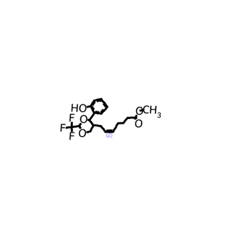 COC(=O)CCC/C=C\CC1COC(C(F)(F)F)OC1c1ccccc1O